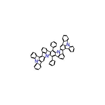 c1ccc(-c2c3c4cccc5c6c7c8ccccc8n8c9ccccc9c(cc6n(c3c(-c3ccccc3)c3c6cccc9c%10c%11c%12ccccc%12n%12c%13ccccc%13c(cc%10n(c23)c69)c%11%12)c45)c78)cc1